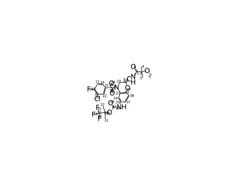 COC(C)(C)C(=O)NC[C@H]1CN(S(=O)(=O)c2ccc(F)c(Cl)c2)c2cc(NC(=O)OC(C)(C)C(F)(F)F)ccc2O1